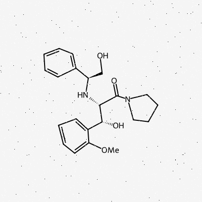 COc1ccccc1[C@@H](O)[C@H](N[C@H](CO)c1ccccc1)C(=O)N1CCCC1